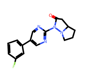 O=C1CC2CCCN2N1c1ncc(-c2cccc(F)c2)cn1